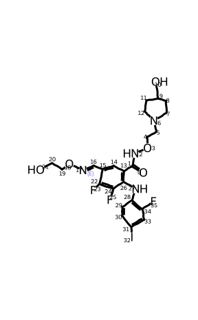 O=C(NOCCN1CCC(O)CC1)c1cc(/C=N/OCCO)c(F)c(F)c1Nc1ccc(I)cc1F